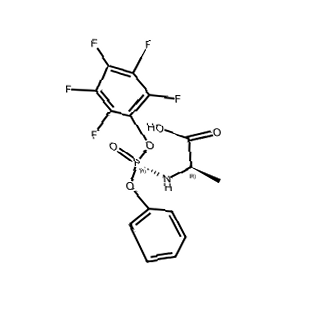 C[C@@H](N[P@@](=O)(Oc1ccccc1)Oc1c(F)c(F)c(F)c(F)c1F)C(=O)O